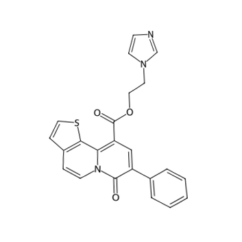 O=C(OCCn1ccnc1)c1cc(-c2ccccc2)c(=O)n2ccc3ccsc3c12